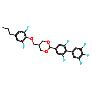 CCCc1cc(F)c(OCC2COC(c3cc(F)c(-c4cc(F)c(F)c(F)c4)c(F)c3)OC2)c(F)c1